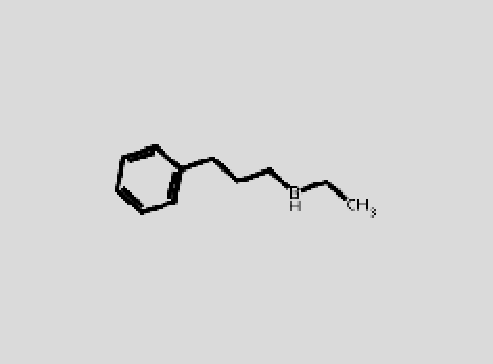 CCBCCCc1ccccc1